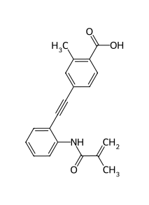 C=C(C)C(=O)Nc1ccccc1C#Cc1ccc(C(=O)O)c(C)c1